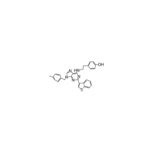 Cc1ccc(Cn2cnc3c(NCCc4ccc(O)cc4)nc(-c4csc5ccccc45)nc32)cc1